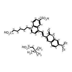 CCN(CC)c1ccc2cc(/C=C/c3cc[n+](CCCCCC(=O)O)c4ccc(S(=O)(=O)O)cc34)c(=O)oc2c1.C[N+](C)(C)CC(=O)O